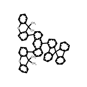 CC1(C)c2ccccc2Oc2cccc(-c3cccc4c(-c5cccc6c5-c5ccccc5C65c6ccccc6-c6ccccc65)c5cccc(-c6cccc7c6C(C)(C)c6ccccc6O7)c5cc34)c21